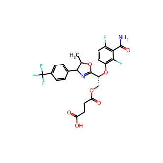 CC1OC([C@@H](COC(=O)CCC(=O)O)Oc2ccc(F)c(C(N)=O)c2F)=NC1c1ccc(C(F)(F)F)cc1